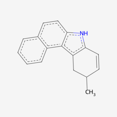 CC1C=Cc2[nH]c3ccc4ccccc4c3c2C1